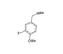 CNCc1ccc(OC)c(F)c1